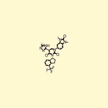 Cn1c(=O)n(C)c2cc(-n3cc(-c4nnn[nH]4)c(=O)n([C@@H]4CCc5c4cccc5C(F)(F)F)c3=O)ccc21